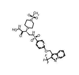 CS(=O)(=O)N1CCN([C@@H](CNS(=O)(=O)c2ccc(OCc3c(C(F)(F)F)nn4ccccc34)cc2)C(=O)NO)CC1